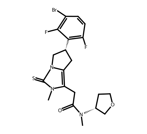 CN(C(=O)Cc1c2n(c(=S)n1C)C[C@H](c1c(F)ccc(Br)c1F)C2)[C@@H]1CCOC1